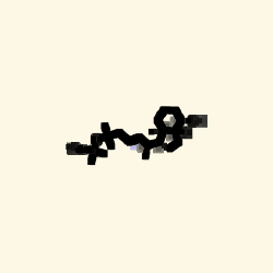 C[C@@H](/C=C/CC(C)(C)O[Si](C)(C)C(C)(C)C)[C@H]1CC[C@H]2[C@@H](O)CCC[C@]12C